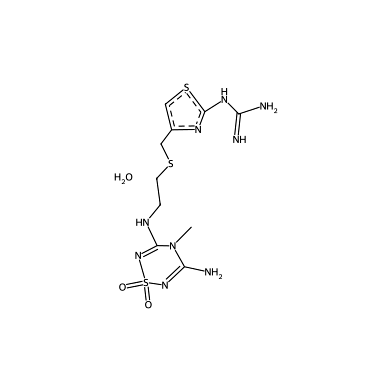 CN1C(N)=NS(=O)(=O)N=C1NCCSCc1csc(NC(=N)N)n1.O